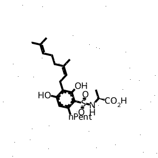 CCCCCc1cc(O)c(CC=C(C)CCC=C(C)C)c(O)c1S(=O)(=O)N[C@@H](C)C(=O)O